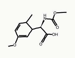 COC(=O)N[C@@H](C(=O)O)C1C=C(OC)C=CC1C